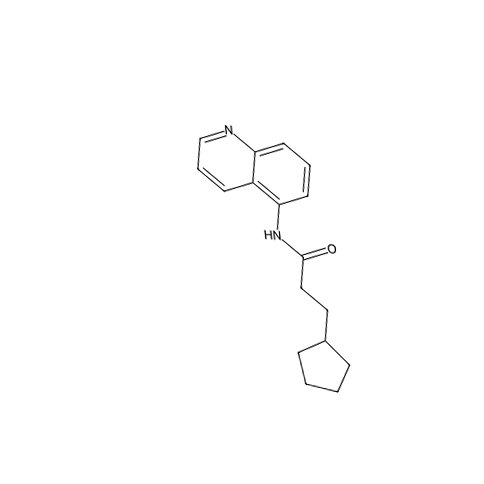 O=C(CCC1CCCC1)Nc1cccc2ncccc12